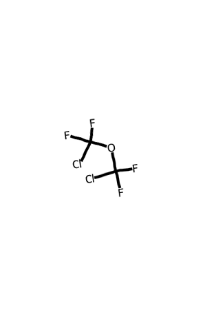 FC(F)(Cl)OC(F)(F)Cl